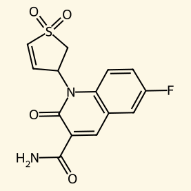 NC(=O)c1cc2cc(F)ccc2n(C2C=CS(=O)(=O)C2)c1=O